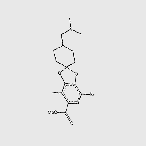 COC(=O)c1cc(Br)c2c(c1C)OC1(CCC(CN(C)C)CC1)O2